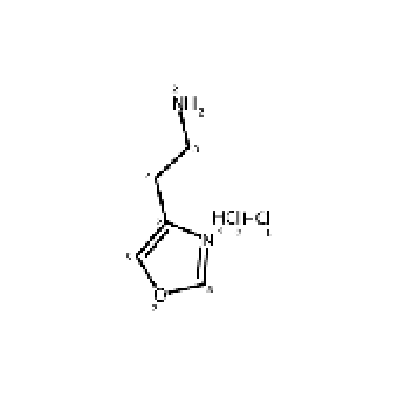 Cl.Cl.NCCc1cocn1